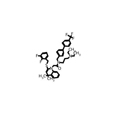 CCN(CC)CCCN(Cc1ccc(-c2ccc(C(F)(F)F)cc2)cc1)C(=O)CN1C(SCc2cccc(F)c2F)=CC(C)(C)c2ccccc21